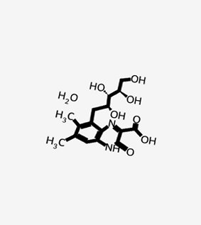 Cc1cc2[nH]c(=O)c(C(=O)O)nc2c(C[C@H](O)[C@H](O)[C@H](O)CO)c1C.O